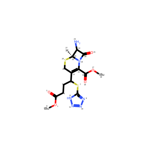 CC(C)(C)OC(=O)CCC(Sc1nnn[nH]1)C1=C(C(=O)OC(C)(C)C)N2C(=O)C(N)[C@@H]2SC1